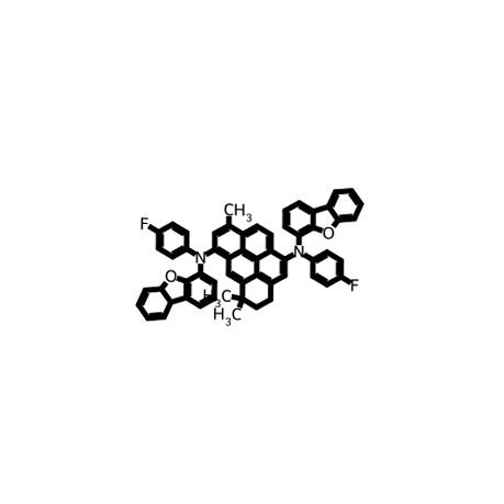 Cc1cc(N(c2ccc(F)cc2)c2cccc3c2OC2C=CC=CC32)c2cc3c4c(cc(N(c5ccc(F)cc5)c5cccc6c5oc5ccccc56)c5ccc1c2c54)CCC3(C)C